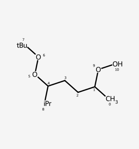 CC(CCC(OOC(C)(C)C)C(C)C)OO